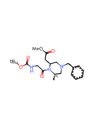 COC(=O)CC1CN(Cc2ccccc2)C[C@@H](C)N1C(=O)CNC(=O)OC(C)(C)C